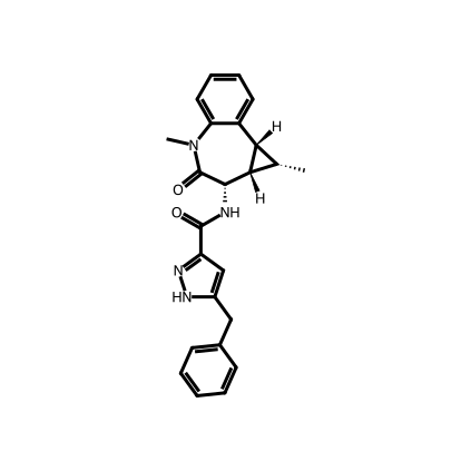 C[C@H]1[C@H]2c3ccccc3N(C)C(=O)[C@@H](NC(=O)c3cc(Cc4ccccc4)[nH]n3)[C@@H]12